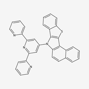 c1ccc(-c2cc(-n3c4ccc5ccccc5c4c4sc5ccccc5c43)cc(-c3ccccn3)n2)nc1